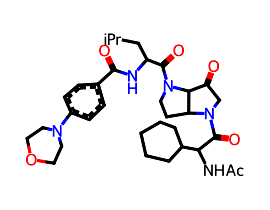 CC(=O)NC(C(=O)N1CC(=O)C2C1CCN2C(=O)C(CC(C)C)NC(=O)c1ccc(N2CCOCC2)cc1)C1CCCCC1